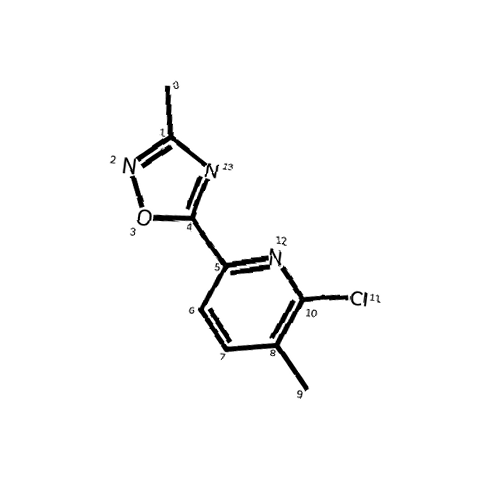 Cc1noc(-c2ccc(C)c(Cl)n2)n1